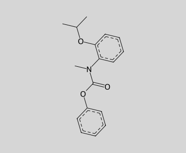 CC(C)Oc1ccccc1N(C)C(=O)Oc1ccccc1